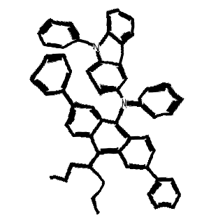 CCCC(CCC)c1c2cc(-c3ccccc3)ccc2c(N(c2ccccc2)c2ccc3c(c2)c2ccccc2n3-c2ccccc2)c2cc(-c3ccccc3)ccc12